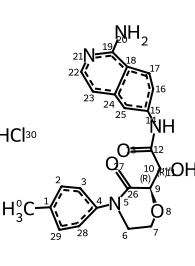 Cc1ccc(N2CCO[C@H]([C@@H](O)C(=O)Nc3ccc4c(N)nccc4c3)C2=O)cc1.Cl